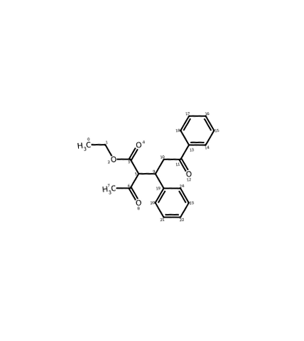 CCOC(=O)C(C(C)=O)C(CC(=O)c1ccccc1)c1ccccc1